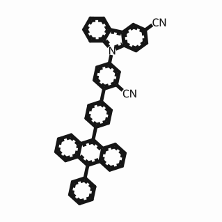 N#Cc1ccc2c(c1)c1ccccc1n2-c1ccc(-c2ccc(-c3c4ccccc4c(-c4ccccc4)c4ccccc34)cc2)c(C#N)c1